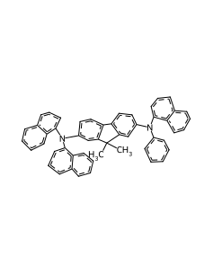 CC1(C)c2cc(N(c3ccccc3)c3cccc4ccccc34)ccc2-c2ccc(N(c3cccc4ccccc34)c3cccc4ccccc34)cc21